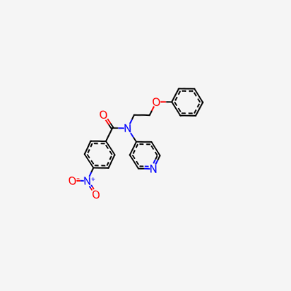 O=C(c1ccc([N+](=O)[O-])cc1)N(CCOc1ccccc1)c1ccncc1